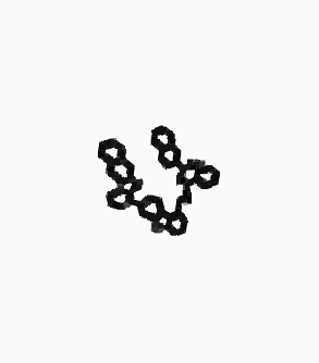 N/C(=N\C(=N/Cc1cccc2oc3cc(-c4cccc5c4oc4cc6ccccc6cc45)ccc3c12)c1ccccc1)c1ccc2ccccc2c1